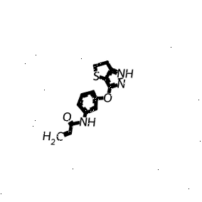 C=CC(=O)Nc1cccc(Oc2n[nH]c3c2SCC3)c1